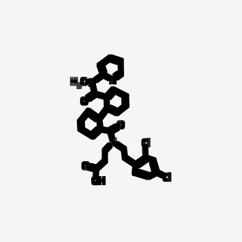 CN(C(=O)c1ccccc1-c1ccccc1C(=O)N(CCC(=O)O)CCc1ccc(Cl)cc1Cl)c1ccccn1